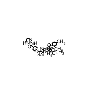 Cc1ccc(S(=O)(=O)N[C@@H](Cn2cnc3c(N4CCC(C(=O)NC5=NCCCN5)CC4)ncnc32)C(=O)OC(C)(C)C)cc1